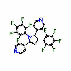 Fc1c(F)c(F)c(C2C=C(c3ccncc3)N(c3c(F)c(F)c(F)c(F)c3F)C2c2ccncc2)c(F)c1F